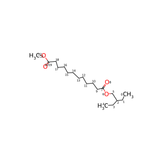 CCC(CC)COC(=O)CCCCCCCCCCC(=O)OC